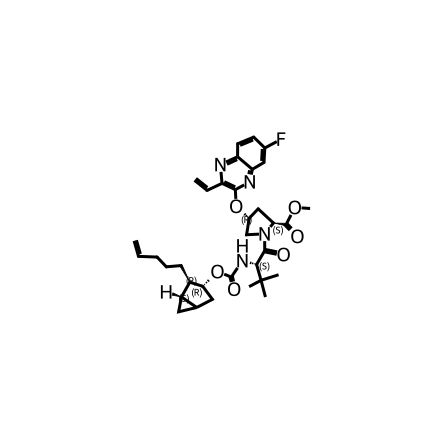 C=CCCC[C@H]1[C@H](OC(=O)N[C@H](C(=O)N2C[C@H](Oc3nc4cc(F)ccc4nc3C=C)C[C@H]2C(=O)OC)C(C)(C)C)CC2C[C@@H]21